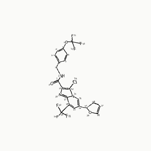 O=C(NCc1ccc(OC(F)(F)F)cc1)c1nc2c(C(F)(F)F)cc(C3CC=CO3)cn2c1Cl